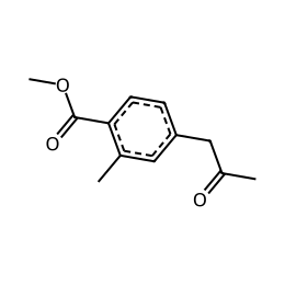 COC(=O)c1ccc(CC(C)=O)cc1C